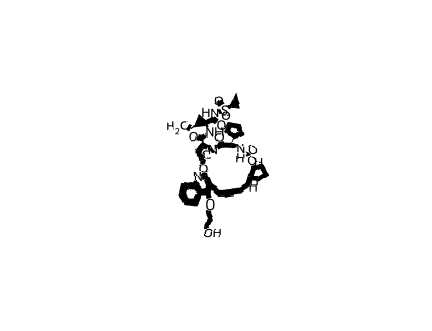 C=C[C@@H]1C[C@]1(NC(=O)[C@@H]1CC2CN1C(=O)[C@H](C1CCCC1)NC(=O)O[C@@H]1CCC[C@H]1CC/C=C/Cc1c(nc3ccccc3c1OCCCO)O2)C(=O)NS(=O)(=O)C1CC1